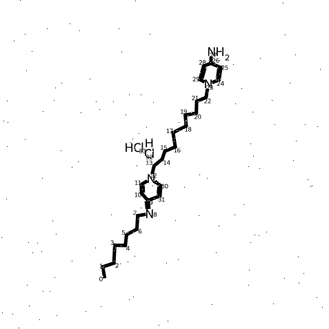 CCCCCCCCN=c1ccn(CCCCCCCCCCN2C=CC(N)C=C2)cc1.Cl.Cl